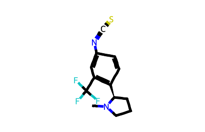 CN1CCC[C@@H]1c1ccc(N=C=S)cc1C(F)(F)F